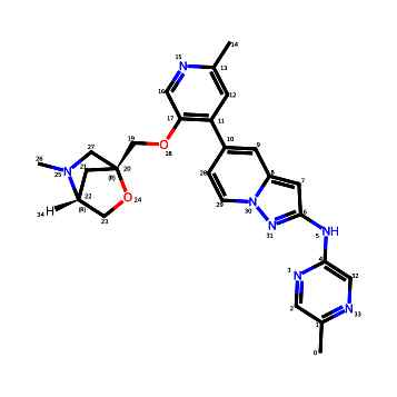 Cc1cnc(Nc2cc3cc(-c4cc(C)ncc4OC[C@]45C[C@H](CO4)N(C)C5)ccn3n2)cn1